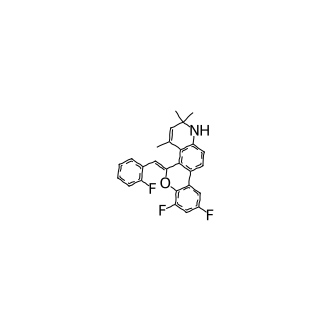 CC1=CC(C)(C)Nc2ccc3c(c21)C(=Cc1ccccc1F)Oc1c(F)cc(F)cc1-3